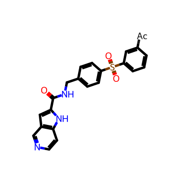 CC(=O)c1cccc(S(=O)(=O)c2ccc(CNC(=O)c3cc4cnccc4[nH]3)cc2)c1